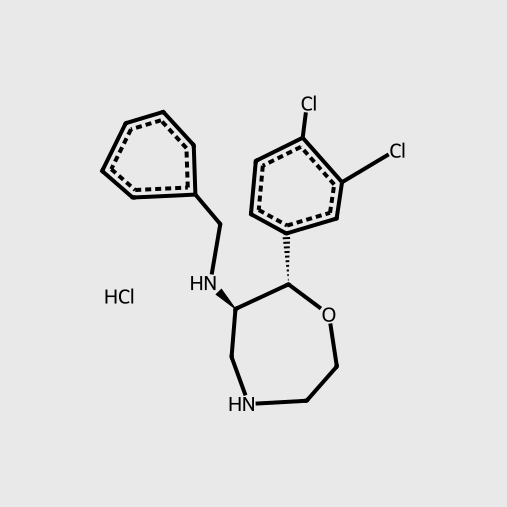 Cl.Clc1ccc([C@@H]2OCCNC[C@H]2NCc2ccccc2)cc1Cl